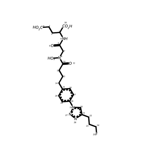 O=C(O)CCC(NC(=O)CN(O)C(=O)CCCc1ccc(-n2cc(CCCF)nn2)cc1)C(=O)O